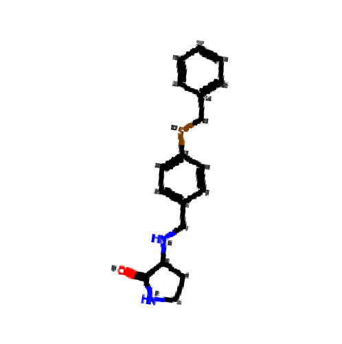 O=C1NCCC1NCc1ccc(SCc2ccccc2)cc1